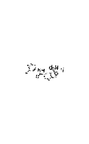 O=C(Nc1ccnc(F)c1)c1ccc(F)c(S(=O)(=O)NC2CC2)c1